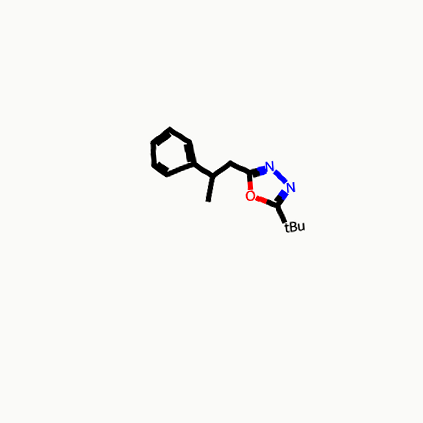 CC(Cc1nnc(C(C)(C)C)o1)c1ccccc1